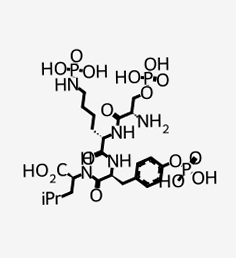 CC(C)C[C@H](NC(=O)[C@H](Cc1ccc(OP(=O)(O)O)cc1)NC(=O)[C@H](CCCCNP(=O)(O)O)NC(=O)[C@@H](N)COP(=O)(O)O)C(=O)O